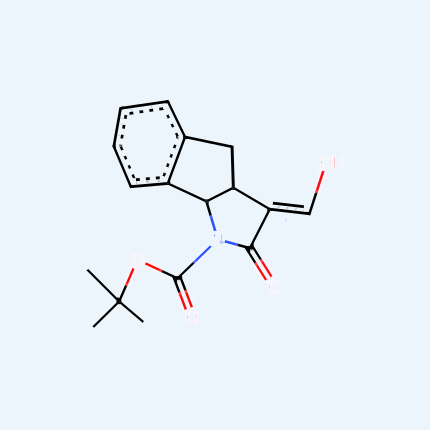 CC(C)(C)OC(=O)N1C(=O)/C(=C/O)C2Cc3ccccc3C21